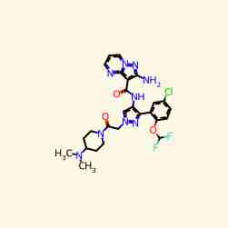 CN(C)C1CCN(C(=O)Cn2cc(NC(=O)c3c(N)nn4cccnc34)c(-c3cc(Cl)ccc3OC(F)F)n2)CC1